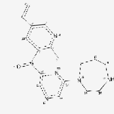 C=Cc1cnc(C)c(C(=O)c2cncc(N3CCCNCC3)n2)c1